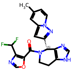 Cc1ccn2nc([C@@H]3c4nc[nH]c4CCN3C(=O)c3ocnc3C(F)F)cc2c1